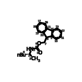 CCCC[C@@H](C)NC(=O)OCC1c2ccccc2-c2ccccc21